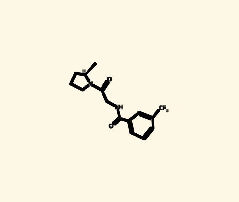 C[C@@H]1CCCN1C(=O)CNC(=O)c1cccc(C(F)(F)F)c1